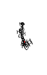 O=C(N[C@H]1CC[C@H]2CC[C@@H](C(=O)N3CC(c4ccccn4)C3)N2C1=O)c1cc2cc(C(F)(F)P(=O)(O)O)ccc2s1